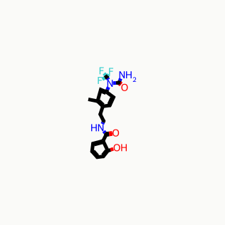 Cc1cc(N(C(N)=O)C(F)(F)F)ccc1CCNC(=O)c1ccccc1O